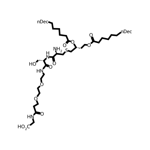 CCCCCCCCCCCCCCCC(=O)OCC[C@H](CSC[C@H](N)C(=O)N[C@@H](CO)C(=O)NCCOCCOCCC(=O)NCC(=O)O)OC(=O)CCCCCCCCCCCCCCC